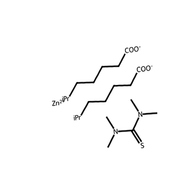 CC(C)CCCCC(=O)[O-].CC(C)CCCCC(=O)[O-].CN(C)C(=S)N(C)C.[Zn+2]